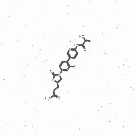 CC(O)C(=O)Nc1ccc(-c2ccc(N3CC(CCC(N)=O)OC3=O)cc2F)cn1